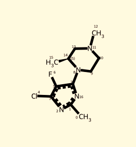 Cc1nc(Cl)c(F)c(N2CCN(C)C[C@@H]2C)n1